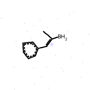 B/C(C)=C/c1ccccc1